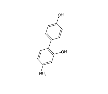 Nc1ccc(-c2ccc(O)cc2)c(O)c1